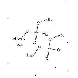 CCCCCCOP([O-])(=S)SCCCC.CCCCCCOP([O-])(=S)SCCCC.[Zn+2]